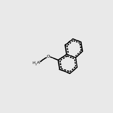 [AlH2][O]c1cccc2ccccc12